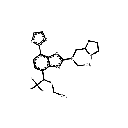 CCOC(c1ccc(-c2nccs2)c2oc(N(CC)CC3CCCN3)nc12)C(F)(F)F